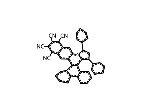 N#Cc1c(C#N)c(C#N)c2cc3c(cc2c1C#N)c1c2ccccc2c2ccccc2c1c1c(-c2ccccc2)cc(-c2ccccc2)n31